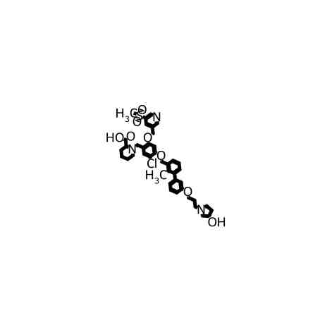 Cc1c(COc2cc(OCc3cncc(S(C)(=O)=O)c3)c(CN3CCCCC3C(=O)O)cc2Cl)cccc1-c1cccc(OCCCN2CCC(O)C2)c1